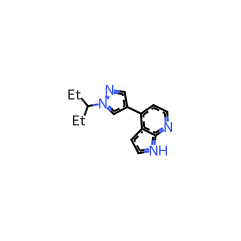 CCC(CC)n1cc(-c2ccnc3[nH]ccc23)cn1